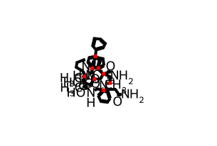 CC1C[C@H](C2CCCN2[C@@]2(C(=O)NC(=O)O)c3ccc(cc3)C2(C)CC(N)=O)N(c2ccc(-c3ccccc3)cc2)[C@@]1(C)C1CCCN1[C@@]1(C(=O)NC(=O)O)c2ccc(cc2)C1(C)CC(N)=O